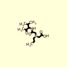 CCCN(CC(=O)O)CC(=O)NC(C(C)=O)C(C)C